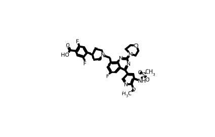 COc1ncc(-c2nc(N3CCOCC3)nc3c(CN4CCC(c5cc(F)c(C(=O)O)cc5F)CC4)cc(F)cc23)cc1NS(C)(=O)=O